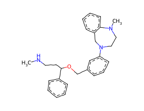 CNCCC(OCc1cccc(N2CCN(C)c3ccccc3C2)c1)c1ccccc1